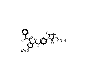 CO[C@H]1C[C@H](C(=O)Nc2ccc(N3C(=O)N[C@H](CC(=O)O)C3=O)cc2)N(C(=O)N(Cl)c2ccccn2)C1